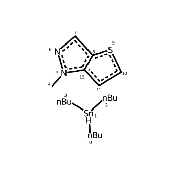 CCC[CH2][SnH]([CH2]CCC)[CH2]CCC.Cn1ncc2sccc21